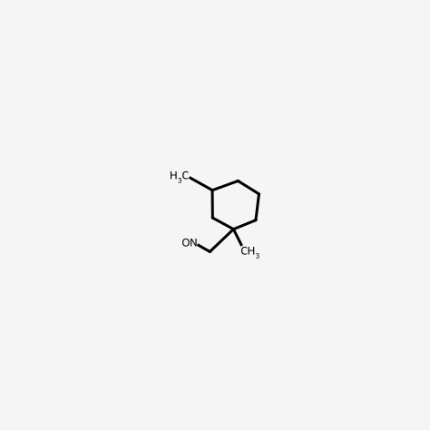 CC1CCCC(C)(CN=O)C1